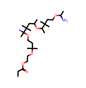 CCC(=O)OCCOC(C)(C)CCOC(C)(I)C(C)(C)CC(C)OC(C)C(C)(C)CCOC(C)N